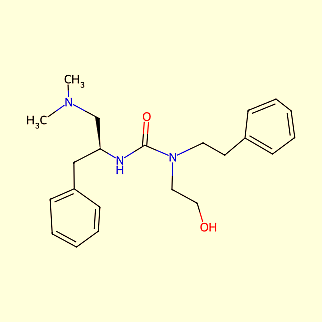 CN(C)C[C@H](Cc1ccccc1)NC(=O)N(CCO)CCc1ccccc1